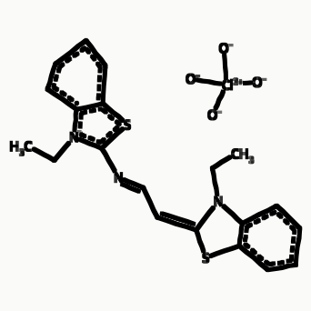 CCN1C(=CC=Nc2sc3ccccc3[n+]2CC)Sc2ccccc21.[O-][Cl+3]([O-])([O-])[O-]